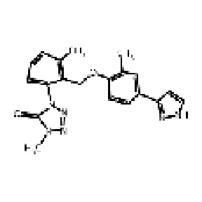 Cc1cc(-c2cc[nH]n2)ccc1OCc1c(C)cccc1-n1nnn(C)c1=O